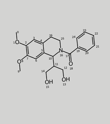 COc1cc2c(cc1OC)C(C(CO)CO)N(C(=O)c1ccccc1)CC2